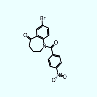 O=C1CCCN(C(=O)c2ccc([N+](=O)[O-])cc2)c2ccc(Br)cc21